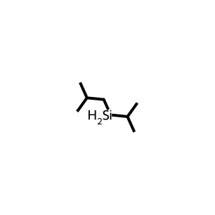 CC(C)C[SiH2]C(C)C